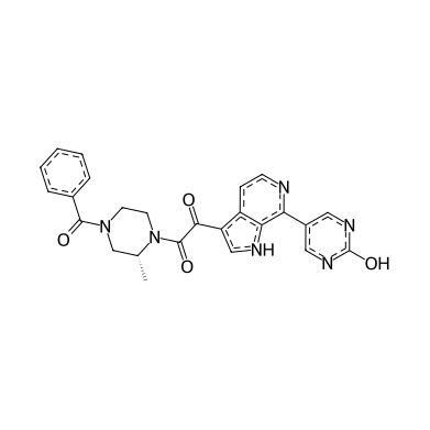 C[C@@H]1CN(C(=O)c2ccccc2)CCN1C(=O)C(=O)c1c[nH]c2c(-c3cnc(O)nc3)nccc12